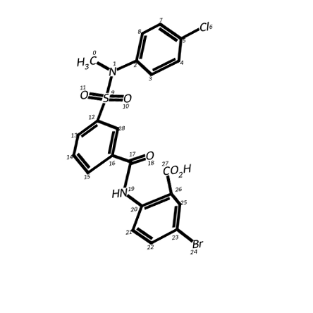 CN(c1ccc(Cl)cc1)S(=O)(=O)c1cccc(C(=O)Nc2ccc(Br)cc2C(=O)O)c1